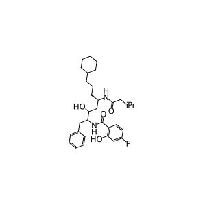 CC(C)CC(=O)N[C@H](CCCC1CCCCC1)CC(O)C(Cc1ccccc1)NC(=O)c1ccc(F)cc1O